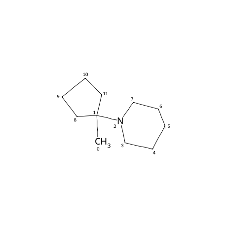 CC1(N2CC[CH]CC2)CCCC1